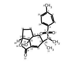 Cc1ccc(S(=O)(=O)N(C)[C@@]2(C)C=C3C(=O)O[C@@H]4CCC(C2)[C@]34O)cc1